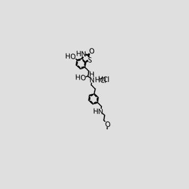 COCCNCc1cccc(CCNC(O)Cc2ccc(O)c3[nH]c(=O)sc23)c1.Cl.Cl